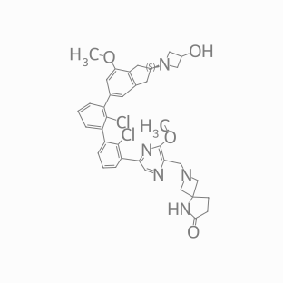 COc1cc(-c2cccc(-c3cccc(-c4cnc(CN5CC6(CCC(=O)N6)C5)c(OC)n4)c3Cl)c2Cl)cc2c1C[C@@H](N1CC(O)C1)C2